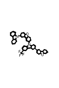 FC(F)(F)c1ccc2c(c1)c1cc(-c3ccc4oc5ccccc5c4c3)ccc1n2-c1ccc2oc3ccc(-n4c5ccccc5c5ccccc54)cc3c2c1